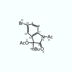 CCCCC1(OC(C)=O)C(=O)N(C(C)=O)c2ccc(Br)cc21